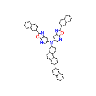 c1ccc2cc(-c3ccc4c(ccc5cc(N(c6cnc7oc(-c8ccc9ccccc9c8)nc7c6)c6cnc7oc(-c8ccc9ccccc9c8)nc7c6)ccc54)c3)ccc2c1